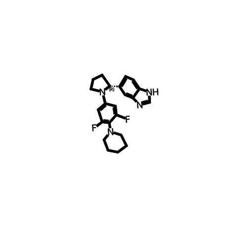 Fc1cc(N2CCC[C@@H]2c2ccc3[nH]cnc3c2)cc(F)c1N1CCCCC1